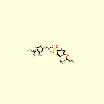 CC(C)Oc1ccc(S(=O)(=O)CCOc2ccc(C(=O)O)c(O)c2)cc1